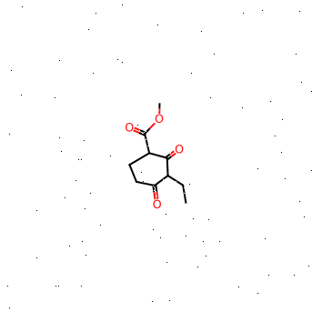 CCC1C(=O)CCC(C(=O)OC)C1=O